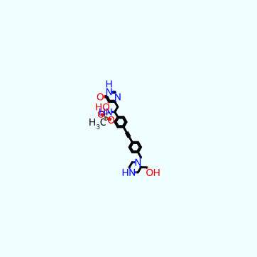 CS(=O)(=O)NC(Cc1nc[nH]c(=O)c1O)c1ccc(C#Cc2ccc(CN3CCNCC3CO)cc2)cc1